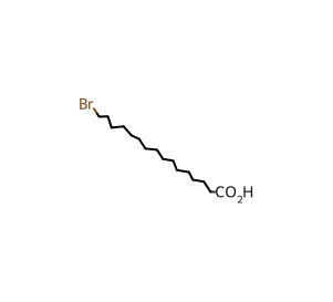 O=C(O)CCCCCCCCCCCCCCCBr